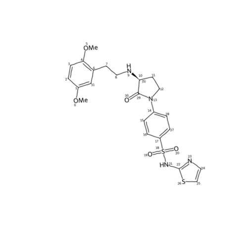 COc1ccc(OC)c(CCN[C@H]2CCN(c3ccc(S(=O)(=O)Nc4nccs4)cc3)C2=O)c1